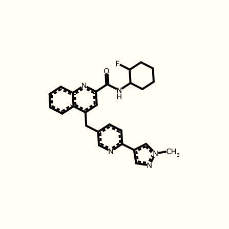 Cn1cc(-c2ccc(Cc3cc(C(=O)NC4CCCCC4F)nc4ccccc34)cn2)cn1